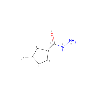 C[C@H]1CC[C@@H](C(=O)NN)C1